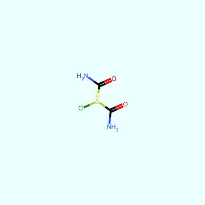 NC(=O)[SH](Cl)C(N)=O